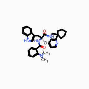 CN(C)c1ccccc1C(=O)N[C@@](C)(Cc1c[nH]c2ccccc12)C(=O)NCC1(c2ccccn2)CCCCC1